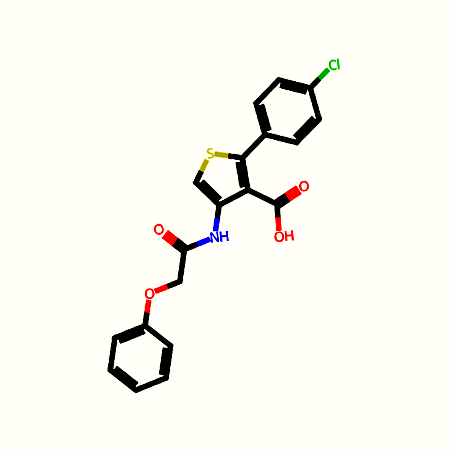 O=C(COc1ccccc1)Nc1csc(-c2ccc(Cl)cc2)c1C(=O)O